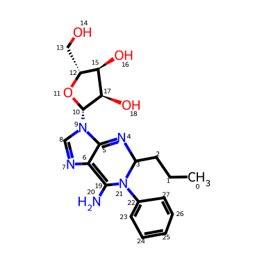 CCCC1N=c2c(ncn2[C@@H]2O[C@H](CO)[C@@H](O)[C@H]2O)=C(N)N1c1ccccc1